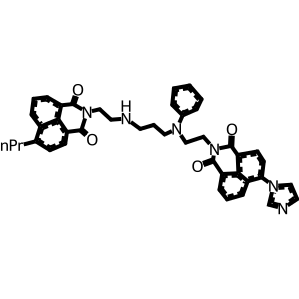 CCCc1ccc2c3c(cccc13)C(=O)N(CCNCCCN(CCN1C(=O)c3cccc4c(-n5ccnc5)ccc(c34)C1=O)c1ccccc1)C2=O